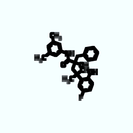 Cc1cc(C)cc(NC(=O)C(O)(Cc2ccccc2)CC(C)(C)c2cc(F)ccc2O)c1